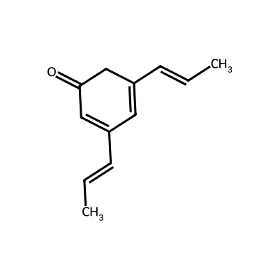 CC=CC1=CC(=O)CC(C=CC)=C1